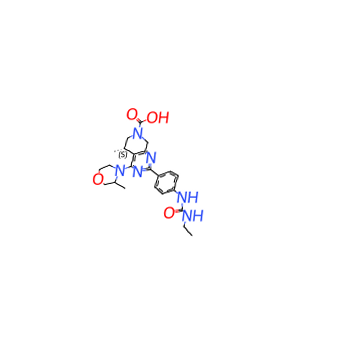 CCNC(=O)Nc1ccc(-c2nc3c(c(N4CCOCC4C)n2)[C@H](C)CN(C(=O)O)C3)cc1